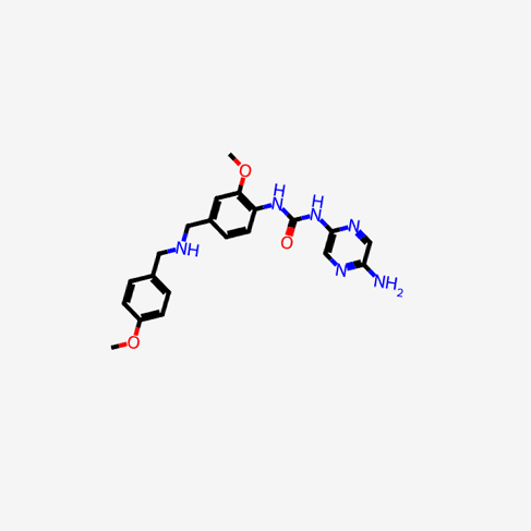 COc1ccc(CNCc2ccc(NC(=O)Nc3cnc(N)cn3)c(OC)c2)cc1